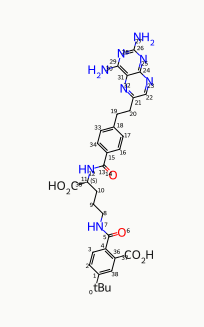 CC(C)(C)c1ccc(C(=O)NCCC[C@H](NC(=O)c2ccc(CCc3cnc4nc(N)nc(N)c4n3)cc2)C(=O)O)c(C(=O)O)c1